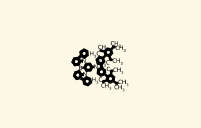 CC(C)c1cc(C(C)C)c(-c2ccc3c(c2)c2cc(-c4c(C(C)C)cc(C(C)C)cc4C(C)C)ccc2n3-c2cc3c4c(c2)-n2c5ccccc5c5cccc(c52)B4c2cccc4c5ccccc5n-3c24)c(C(C)C)c1